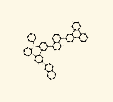 c1ccc(N2c3ccccc3-c3ccc(-c4ccc5ccccc5c4)cc3-c3cc(-c4cccc5c(-c6ccc7c8ccccc8c8ccccc8c7c6)cccc45)ccc32)cc1